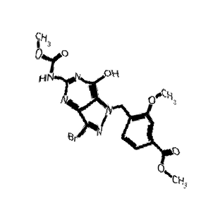 COC(=O)Nc1nc(O)c2c(n1)c(Br)nn2Cc1ccc(C(=O)OC)cc1OC